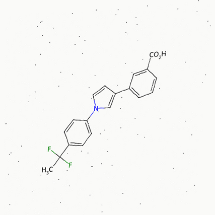 CC(F)(F)c1ccc(-n2ccc(-c3cccc(C(=O)O)c3)c2)cc1